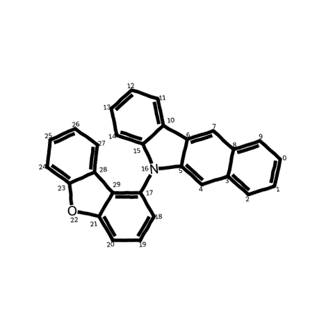 c1ccc2cc3c(cc2c1)c1ccccc1n3-c1cccc2oc3ccccc3c12